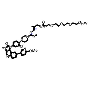 C=N/C(=N\C=C(/C)CNC(=O)CCOCCOCCOCCOCCC)N1CCN(c2ccc(-n3c(=O)n(C)c4cnc5ccc(-c6ccc(OC)nc6)cc5c43)cc2C(F)(F)F)CC1